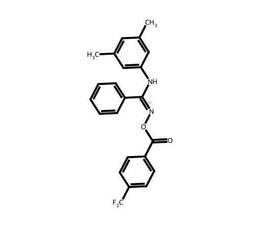 Cc1cc(C)cc(N/C(=N/OC(=O)c2ccc(C(F)(F)F)cc2)c2ccccc2)c1